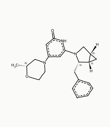 C[C@@H]1CN(c2cc(N3C[C@@H]4C[C@@H]4[C@@H]3Cc3ccccc3)[nH]c(=O)c2)CCO1